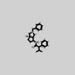 CC(C)C(C(=O)NC1CC[C@H]2CN(Cc3ccccc3)CC12)c1ccccc1